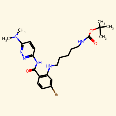 CN(C)c1ccc(NC(=O)c2ccc(Br)cc2NCCCCCNC(=O)OC(C)(C)C)nn1